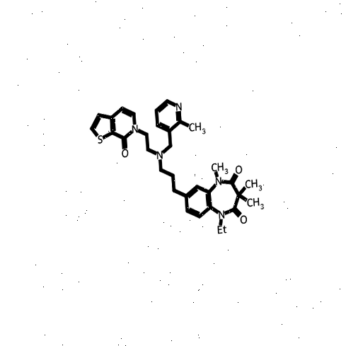 CCN1C(=O)C(C)(C)C(=O)N(C)c2cc(CCCN(CCn3ccc4ccsc4c3=O)Cc3cccnc3C)ccc21